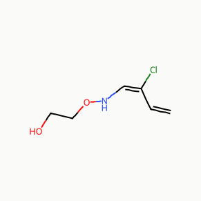 C=C/C(Cl)=C\NOCCO